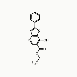 CCOC(=O)c1cnc2cc(-c3ccccc3)sc2c1O